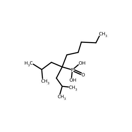 CCCCCC(CC(C)C)(CC(C)C)P(=O)(O)O